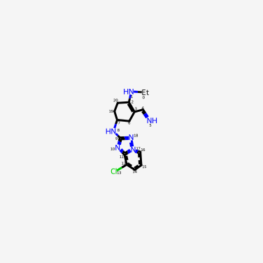 CCNC1=C(C=N)CC(Nc2nc3c(Cl)cccn3n2)CC1